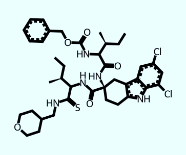 CC[C@H](C)C(NC(=O)OCc1ccccc1)C(=O)N[C@]1(C(=O)NC(C(=S)NCC2CCOCC2)[C@@H](C)CC)CCc2[nH]c3c(Cl)cc(Cl)cc3c2C1